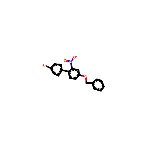 O=[N+]([O-])c1cc(OCc2ccccc2)ccc1-c1ccc(Br)cc1